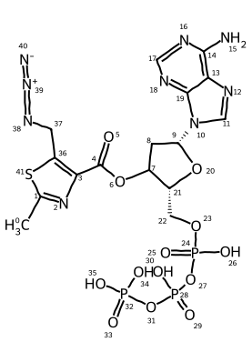 Cc1nc(C(=O)OC2C[C@H](n3cnc4c(N)ncnc43)O[C@@H]2COP(=O)(O)OP(=O)(O)OP(=O)(O)O)c(CN=[N+]=[N-])s1